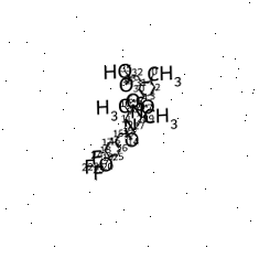 Cc1ccc(S(=O)(=O)N2C(C)CN(C(=O)Cc3ccc(OC(F)(F)F)cc3)CC2C)cc1CC(=O)O